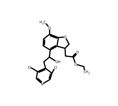 CCOC(=O)CC1COc2c(OC)ccc(C(O)Cc3c(Cl)cncc3Cl)c21